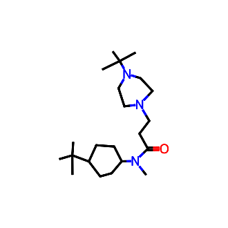 CN(C(=O)CCN1CCN(C(C)(C)C)CC1)C1CCC(C(C)(C)C)CC1